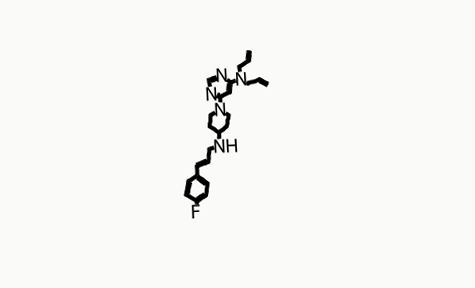 C=CCN(CC=C)c1cc(N2CCC(NCC=Cc3ccc(F)cc3)CC2)ncn1